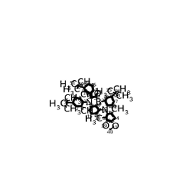 Cc1cc(C(C)(C)C)cc(C)c1N1c2cccc3c2B(c2cc(C(C)(C)C)ccc2N3c2c(C)cc3c(c2C)OCO3)c2oc3ccc(C(C)(C)C)cc3c21